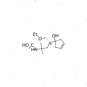 CCOC[C@@H](CC(C)(C)NC(=O)O)C1(O)CC=CC1